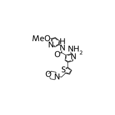 COc1ccc(NC(=O)c2cc(-c3ccc(CN4CCOCC4)s3)cnc2N)cn1